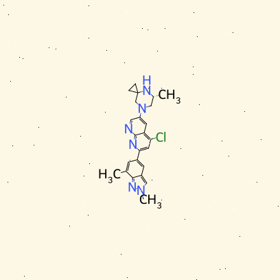 Cc1cc(-c2cc(Cl)c3cc(N4C[C@@H](C)NC5(CC5)C4)cnc3n2)cc2cn(C)nc12